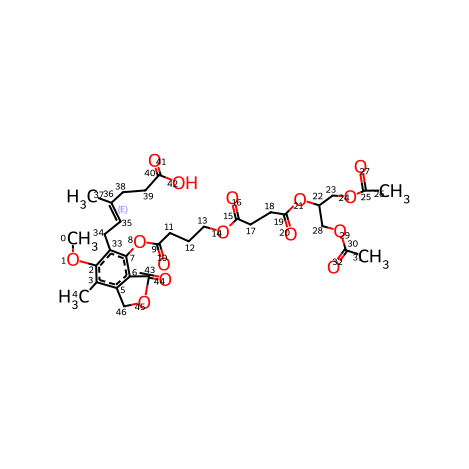 COc1c(C)c2c(c(OC(=O)CCCOC(=O)CCC(=O)OC(COC(C)=O)COC(C)=O)c1C/C=C(\C)CCC(=O)O)C(=O)OC2